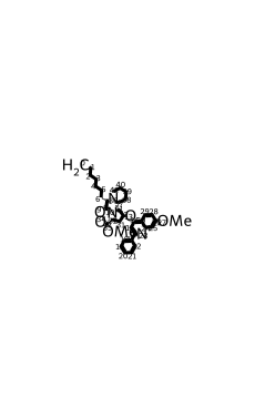 C=CCCCCC[C@@H](C(=O)N1C[C@H](Oc2cc(-c3ccccc3)nc3cc(OC)ccc23)C[C@H]1C(=O)OC)N1CCCCC1